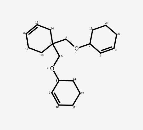 C1=CC(OCC2(COC3C=CCCC3)CC=CCC2)CCC1